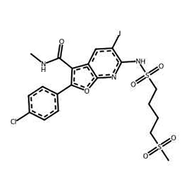 CNC(=O)c1c(-c2ccc(Cl)cc2)oc2nc(NS(=O)(=O)CCCCS(C)(=O)=O)c(I)cc12